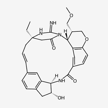 CC[C@]12C/C=C/c3ccc4c(c3)[C@@H](NC(=O)c3ccc5c(c3)[C@@H]([C@H](COC)CO5)N(C(=N)N1)C(=O)C2)[C@H](O)C4